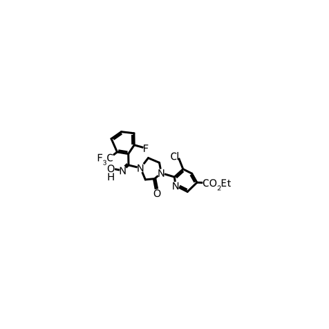 CCOC(=O)c1cnc(N2CCN(C(=NO)c3c(F)cccc3C(F)(F)F)CC2=O)c(Cl)c1